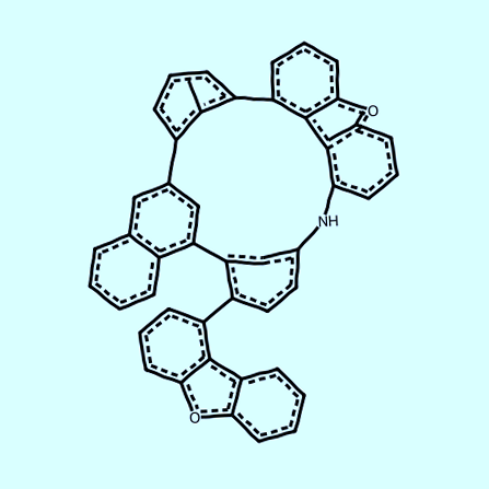 Cc1c2cccc1-c1cccc3oc4cccc(c4c13)Nc1ccc(-c3cccc4oc5ccccc5c34)c(c1)-c1cc-2cc2ccccc12